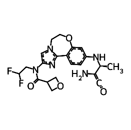 C[C@H](Nc1ccc2c(c1)OCCn1cc(N(CC(F)F)C(=O)C3COC3)nc1-2)C(N)=C=O